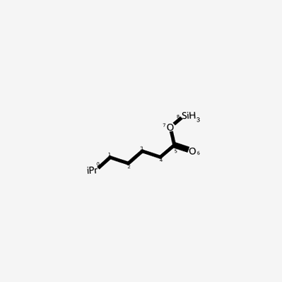 CC(C)CCCCC(=O)O[SiH3]